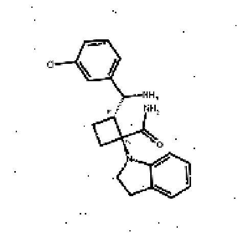 NC(=O)[C@]1(N2CCc3ccccc32)CC[C@@H]1C(N)c1cccc(Cl)c1